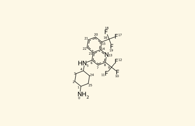 NC1CCC(Nc2cc(C(F)(F)F)nc3c(C(F)(F)F)cccc23)CC1